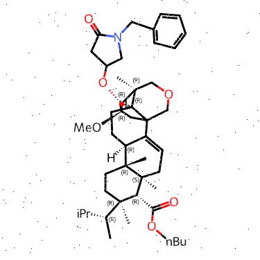 CCCCOC(=O)[C@@H]1[C@@](C)([C@H](C)C(C)C)CC[C@]2(C)[C@H]3CC[C@@H]4C5(COC[C@]4(C)[C@@H](OC4CC(=O)N(Cc6ccccc6)C4)[C@H](OC)C5)C3=CC[C@@]12C